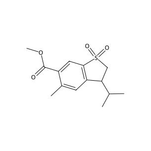 COC(=O)c1cc2c(cc1C)C(C(C)C)CS2(=O)=O